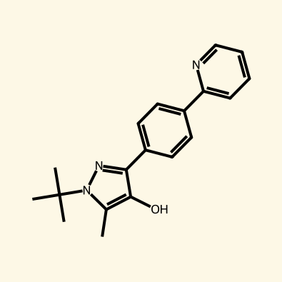 Cc1c(O)c(-c2ccc(-c3ccccn3)cc2)nn1C(C)(C)C